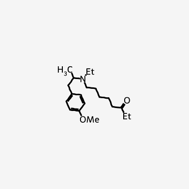 CCC(=O)CCCCCN(CC)C(C)Cc1ccc(OC)cc1